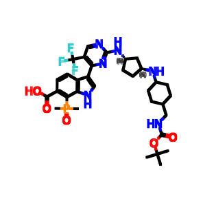 CC(C)(C)OC(=O)NCC1CCC(N[C@H]2CC[C@H](Nc3ncc(C(F)(F)F)c(-c4c[nH]c5c(P(C)(C)=O)c(C(=O)O)ccc45)n3)C2)CC1